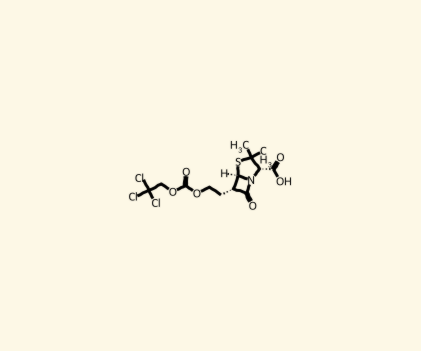 CC1(C)S[C@@H]2[C@@H](CCOC(=O)OCC(Cl)(Cl)Cl)C(=O)N2[C@H]1C(=O)O